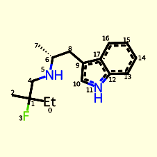 CCC(C)(F)CN[C@H](C)Cc1c[nH]c2ccccc12